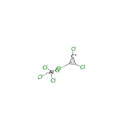 Clc1c(Cl)[c+]1Cl.[Cl][Al-]([Cl])([Cl])[Cl]